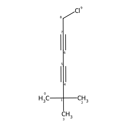 CC(C)(C)C#CC#CCCl